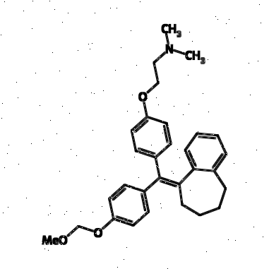 COCOc1ccc(C(=C2CCCCc3ccccc32)c2ccc(OCCN(C)C)cc2)cc1